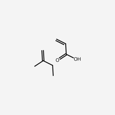 C=C(C)CC.C=CC(=O)O